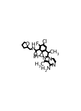 Cc1nc(C(C)c2cc(Cl)c(F)c(C(=O)NCC3CCCO3)c2OC(C)C)n2ccnc(N)c12